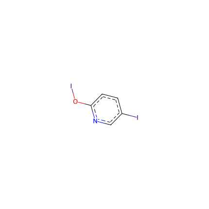 IOc1ccc(I)cn1